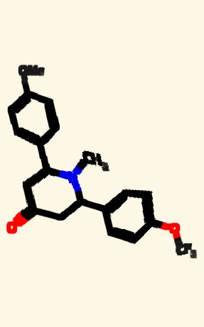 COc1ccc(C2CC(=O)CC(c3ccc(OC(F)(F)F)cc3)N2C)cc1